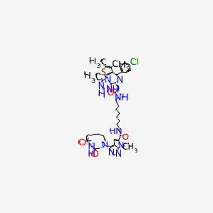 CC(=N)N1C(=N)[C@H](CC(=O)NCCCCCCCCNC(=O)c2cc3c(N4CCCCCC(=O)NC(=O)C4)ncnc3n2C)N=C(c2ccc(Cl)cc2)c2c1sc(C)c2C